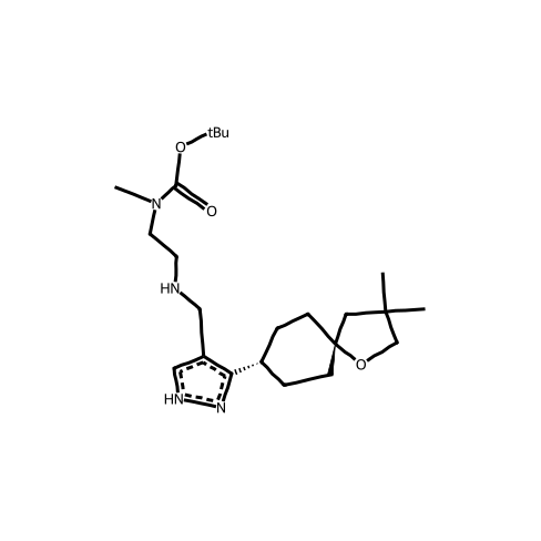 CN(CCNCc1c[nH]nc1[C@H]1CC[C@@]2(CC1)CC(C)(C)CO2)C(=O)OC(C)(C)C